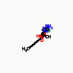 C#C[C@]1(COC(=O)CCCCCCCCCCC)O[C@@H](n2cnc3c(N)nc(F)nc32)C[C@@H]1O